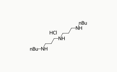 CCCCNCCCNCCCNCCCC.Cl